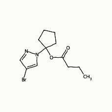 CCCC(=O)OC1(n2cc(Br)cn2)CCCC1